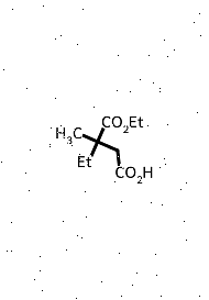 CCOC(=O)C(C)(CC)CC(=O)O